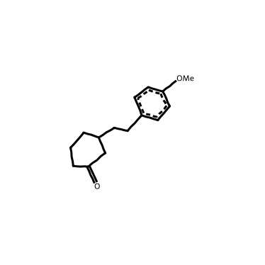 COc1ccc(CCC2CCCC(=O)C2)cc1